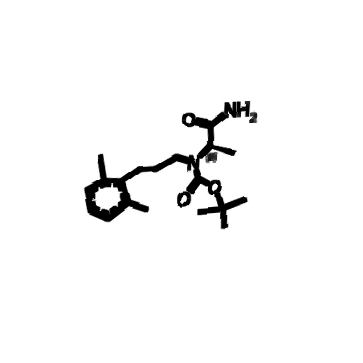 Cc1cccc(C)c1CCCN(C(=O)OC(C)(C)C)[C@H](C)C(N)=O